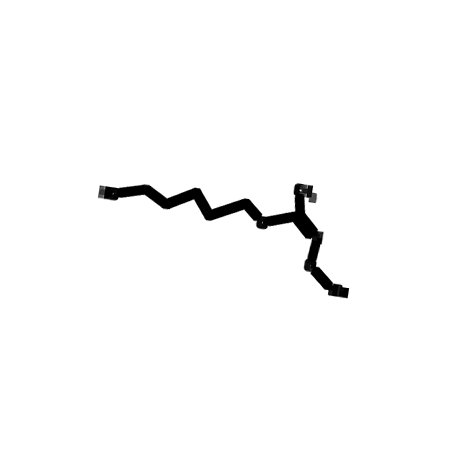 CC(=NOC(C)(C)C)OCCCCCO